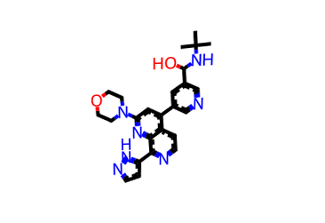 CC(C)(C)NC(O)c1cncc(-c2cc(N3CCOCC3)nc3c(-c4ccn[nH]4)nccc23)c1